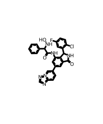 O=C1NC(c2cc(F)ccc2Cl)c2c(NC(=O)C(NO)c3ccccc3)cc(-c3ccc4ncnn4c3)cc21